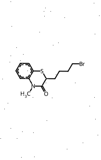 CN1C(=O)C(CCCCBr)Sc2ccccc21